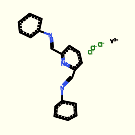 C(=Nc1ccccc1)c1cccc(C=Nc2ccccc2)n1.[Cl-].[Cl-].[Cl-].[V+3]